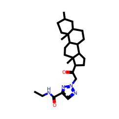 CCNC(=O)c1cnn(CC(=O)C2CCC3C4CCC5CC(C)CCC5(C)C4CCC23C)n1